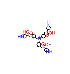 O=C(O)[C@@H](Cc1cccc(CN(Cc2cccc(C[C@H](C(=O)O)C3CCNCC3)c2)Cc2cccc(C[C@H](C(=O)O)C3CCNCC3)c2)c1)C1CCNCC1